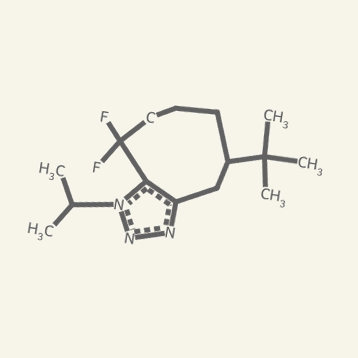 CC(C)n1nnc2c1C(F)(F)CCCC(C(C)(C)C)C2